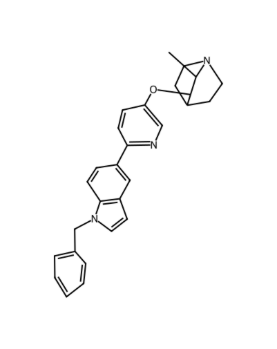 CC1C(Oc2ccc(-c3ccc4c(ccn4Cc4ccccc4)c3)nc2)C2CCN1CC2